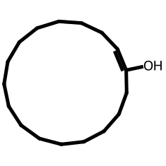 OC1=CCCCCCCCCCCCCCCC1